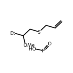 C=CCSCC(CC)OC.O=PO